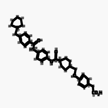 O=C(O)Cc1ccc(OCC2CCN(C(=O)Oc3ccc(NC(=O)c4ccc(CN5CCCCC5)cc4)cn3)CC2)cc1